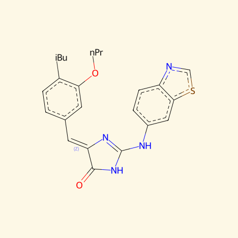 CCCOc1cc(/C=C2\N=C(Nc3ccc4ncsc4c3)NC2=O)ccc1C(C)CC